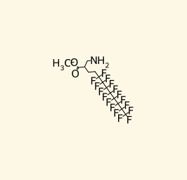 COC(=O)C(CN)CCC(F)(F)C(F)(F)C(F)(F)C(F)(F)C(F)(F)C(F)(F)C(F)(F)C(F)(F)F